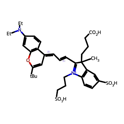 CCN(CC)c1ccc2c(c1)OC(C(C)(C)C)=C/C2=C\C=C\C1=[N+](CCCS(=O)(=O)O)c2ccc(S(=O)(=O)O)cc2C1(C)CCCC(=O)O